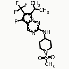 CC(C)c1c(C(F)(F)F)c(F)c2cnc(NC3CCN(S(C)(=O)=O)CC3)nn12